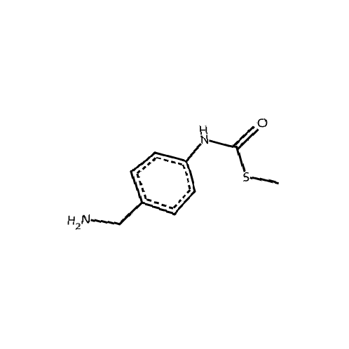 CSC(=O)Nc1ccc(CN)cc1